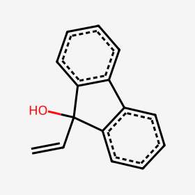 C=CC1(O)c2ccccc2-c2ccccc21